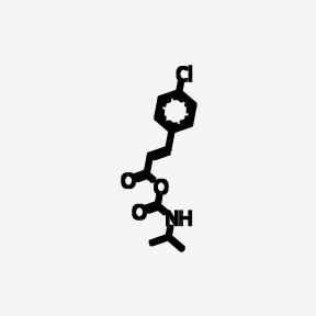 CC(C)NC(=O)OC(=O)C=Cc1ccc(Cl)cc1